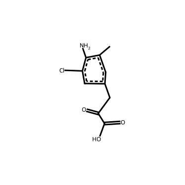 Cc1cc(CC(=O)C(=O)O)cc(Cl)c1N